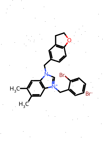 Cc1cc2c(cc1C)[n+](Cc1ccccc1Br)cn2Cc1ccc2c(c1)CCO2.[Br-]